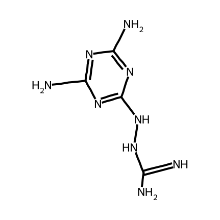 N=C(N)NNc1nc(N)nc(N)n1